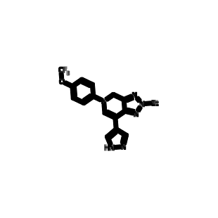 CCn1nc2c(n1)C(c1cn[nH]c1)=CN(c1ccc(OC(F)(F)F)cc1)C2